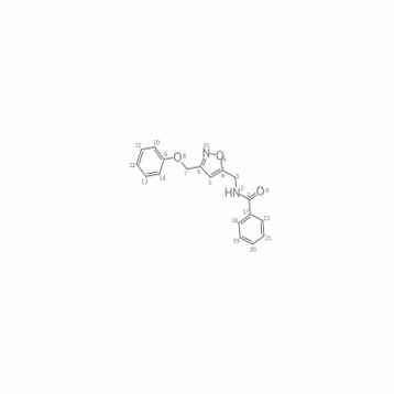 O=C(NCc1cc(COc2ccccc2)no1)c1ccccc1